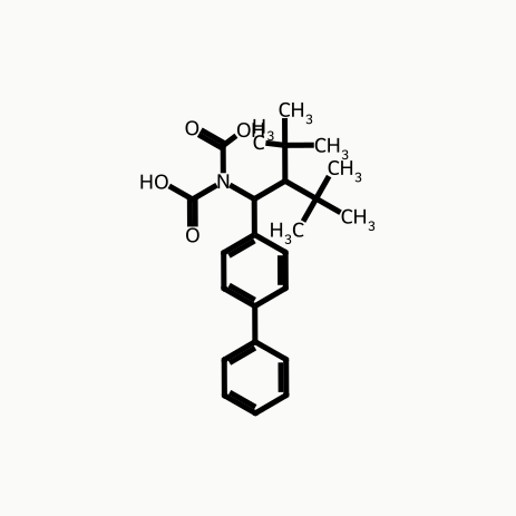 CC(C)(C)C(C(c1ccc(-c2ccccc2)cc1)N(C(=O)O)C(=O)O)C(C)(C)C